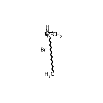 C=Cc1[nH]cc[n+]1CCCCCCCCCCCCCCCC.[Br-]